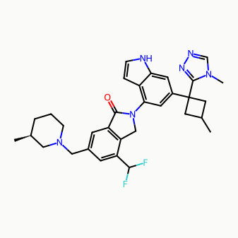 CC1CC(c2cc(N3Cc4c(cc(CN5CCC[C@H](C)C5)cc4C(F)F)C3=O)c3cc[nH]c3c2)(c2nncn2C)C1